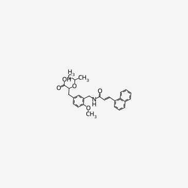 COc1ccc(CC(OC(C)C)C(=O)O)cc1CNC(=O)/C=C/c1cccc2ccccc12